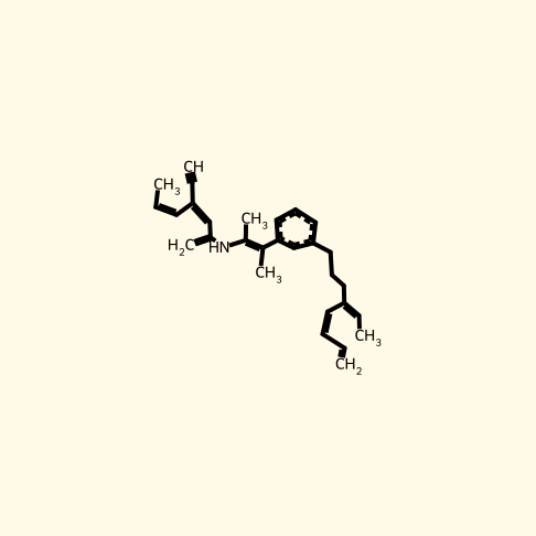 C#CC(/C=C\C)=C/C(=C)N/C(C)=C(\C)c1cccc(CCCC(/C=C\C=C)=C/C)c1